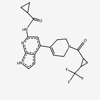 O=C(Nc1cc(C2=CCN(C(=O)C3CC3C(F)(F)F)CC2)c2cc[nH]c2n1)C1CC1